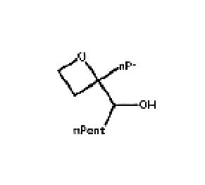 CCCCCC(O)C1(CCC)CCO1